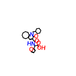 O=C(NC(C(=O)O)c1ccco1)c1cc2c(n(CC3CCCCC3)c1=O)CCCCCC2